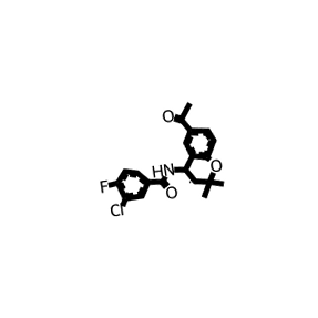 CC(=O)c1ccc2c(c1)C(NC(=O)c1ccc(F)c(Cl)c1)[CH]C(C)(C)O2